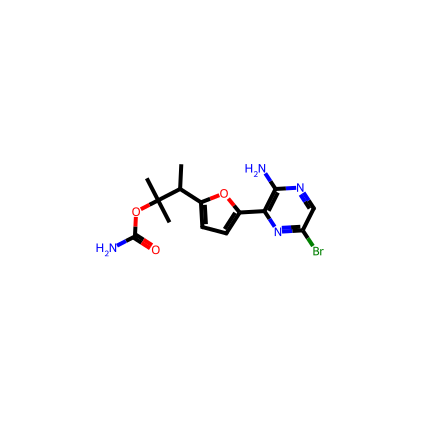 CC(c1ccc(-c2nc(Br)cnc2N)o1)C(C)(C)OC(N)=O